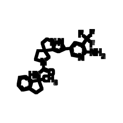 CC1(NC(=O)N2CCC3(CCn4nc(-c5cnc(N)c(C(F)(F)F)c5)cc43)C2)CCc2ccccc21